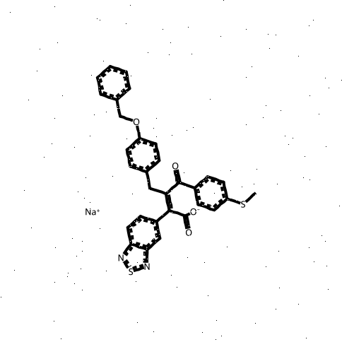 CSc1ccc(C(=O)C(Cc2ccc(OCc3ccccc3)cc2)=C(C(=O)[O-])c2ccc3nsnc3c2)cc1.[Na+]